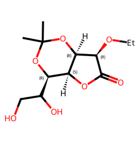 CCO[C@H]1C(=O)O[C@@H]2[C@H]1OC(C)(C)O[C@@H]2C(O)CO